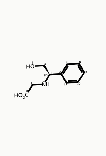 O=C(O)CN[C@@H](CO)c1ccccc1